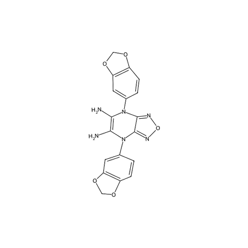 NC1=C(N)N(c2ccc3c(c2)OCO3)c2nonc2N1c1ccc2c(c1)OCO2